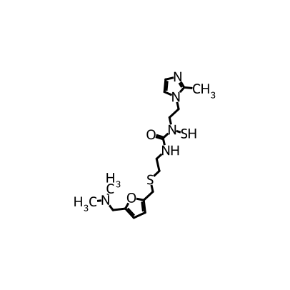 Cc1nccn1CCN(S)C(=O)NCCSCc1ccc(CN(C)C)o1